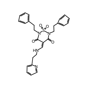 O=C1C(=CNCCc2ccccn2)C(=O)N(CCc2ccccc2)S(=O)(=O)N1CCc1ccccc1